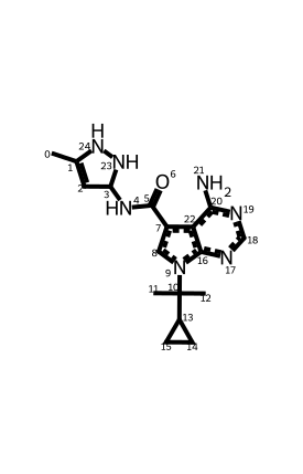 CC1=CC(NC(=O)c2cn(C(C)(C)C3CC3)c3ncnc(N)c23)NN1